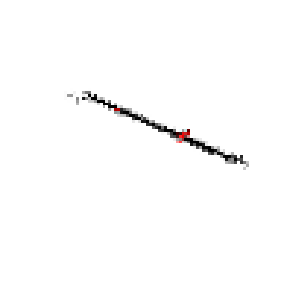 CCCCCCCCCCCCCCCCCCCCCCCCCCCCCCOC(=O)CCCCCCCCCCCCCCC